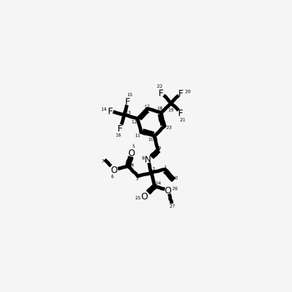 C=CC(CC(=O)OC)(/N=C/c1cc(C(F)(F)F)cc(C(F)(F)F)c1)C(=O)OC